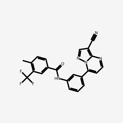 Cc1ccc(C(=O)Nc2cccc(-c3ccnc4c(C#N)cnn34)c2)cc1C(F)(F)F